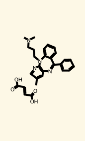 Cc1cnc2c(c1)N=C(c1ccccc1)c1ccccc1N2CCCN(C)C.O=C(O)/C=C/C(=O)O